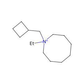 CC[N+]1(CC2CCC2)CCCCCCC1